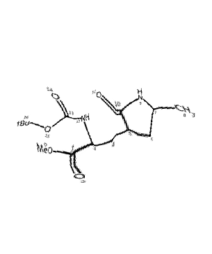 COC(=O)C(CC1CC(C)NC1=O)NC(=O)OC(C)(C)C